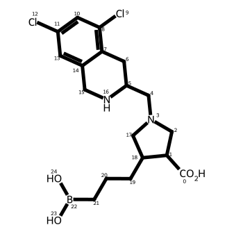 O=C(O)C1CN(CC2Cc3c(Cl)cc(Cl)cc3CN2)CC1CCCB(O)O